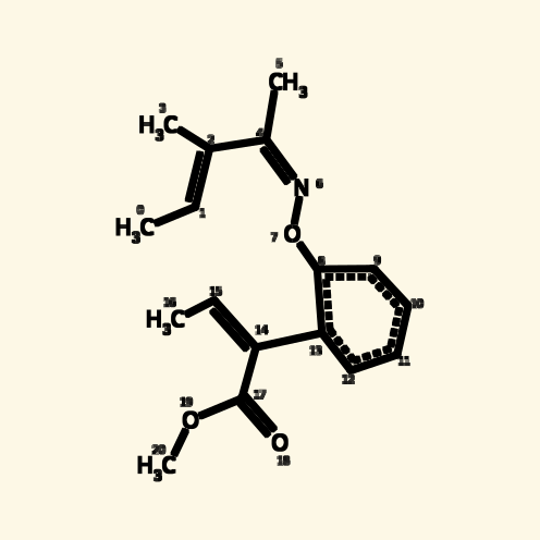 CC=C(C)C(C)=NOc1ccccc1C(=CC)C(=O)OC